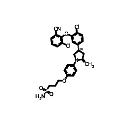 C=C1C[C@H](c2ccc(Cl)c(Oc3c(Cl)cccc3C#N)c2)CN1c1ccc(OCCCS(N)(=O)=O)cc1